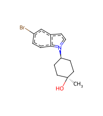 C[C@]1(O)CC[C@@H](n2ccc3cc(Br)ccc32)CC1